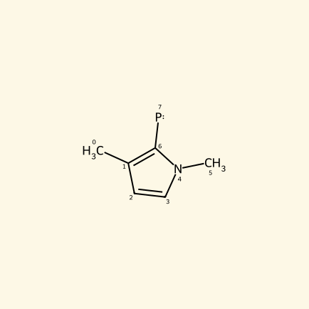 Cc1ccn(C)c1[P]